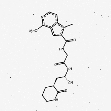 COc1nccc2c1cc(C(=O)NCC(=O)N[C@H](C#N)C[C@@H]1CCCNC1=O)n2C